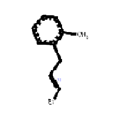 CC/C=C/Cc1ccccc1C